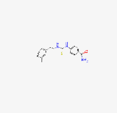 Cc1cccc(CCNC(=S)Nc2ccc(C(N)=O)cc2)c1